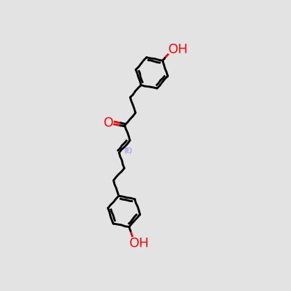 O=C(/C=C/CCc1ccc(O)cc1)CCc1ccc(O)cc1